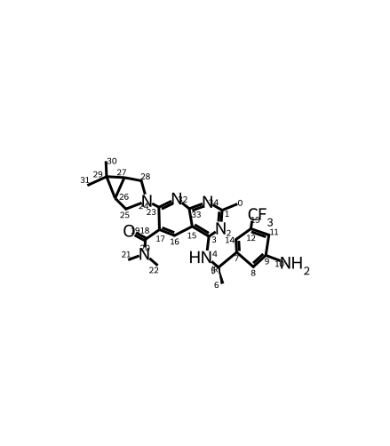 Cc1nc(N[C@H](C)c2cc(N)cc(C(F)(F)F)c2)c2cc(C(=O)N(C)C)c(N3CC4C(C3)C4(C)C)nc2n1